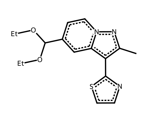 CCOC(OCC)c1ccn2nc(C)c(-c3nccs3)c2c1